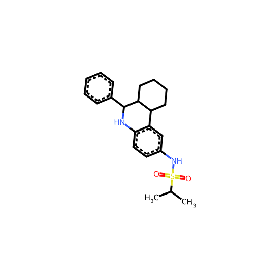 CC(C)S(=O)(=O)Nc1ccc2c(c1)C1CCCCC1C(c1ccccc1)N2